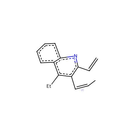 C=Cc1nc2ccccc2c(CC)c1/C=C\C